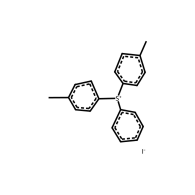 Cc1ccc([S+](c2ccccc2)c2ccc(C)cc2)cc1.[I-]